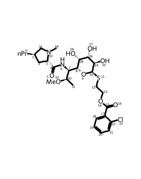 CCC[C@@H]1C[C@@H](C(=O)N[C@@H]([C@H]2O[C@H](SCCOC(=O)c3ccccc3Cl)[C@H](O)[C@@H](O)[C@H]2O)[C@@H](C)OC)N(C)C1